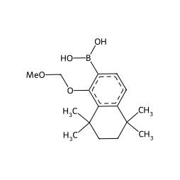 COCOc1c(B(O)O)ccc2c1C(C)(C)CCC2(C)C